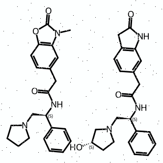 Cn1c(=O)oc2ccc(CC(=O)N[C@H](CN3CCCC3)c3ccccc3)cc21.O=C1Cc2ccc(CC(=O)N[C@H](CN3CC[C@H](O)C3)c3ccccc3)cc2N1